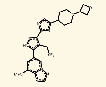 COc1cc(-c2[nH]nc(-c3ncc(C4CCN(C5COC5)CC4)s3)c2CC(F)(F)F)cn2ncnc12